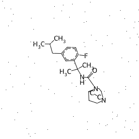 CC(C)Cc1ccc(F)c(C(C)(C)NC(=O)N2CCN3CCC2CC3)c1